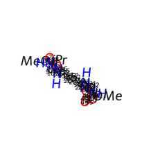 COC(=O)N[C@H](C(=O)N1CCCC1c1nc2ccc(-c3ccc4cc(-c5ccc6nc([C@@H]7CCCN7C(=O)[C@@H](NC(=O)OC)C7CCOCC7)[nH]c6c5)ccc4c3)cc2[nH]1)C(C)C